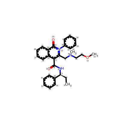 CC[C@H](NC(=O)c1c(CN(C)CCOC)n(-c2ccccc2)c(=O)c2ccccc12)c1ccccc1